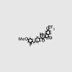 COc1ccc(CN2CCC(NC(=O)c3cc(=O)c4ccc(OC(F)(F)F)cc4[nH]3)CC2)c(F)c1